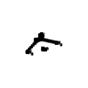 CCCCCCCCCCCCCC(=O)OCC(COP(=O)([O-])[O-])OC(=O)CCCCCCCCCCCCC.[Na+].[Na+]